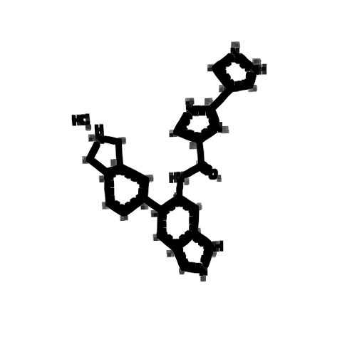 Cl.O=C(Nc1cc2[nH]ncc2cc1-c1ccc2c(c1)CNC2)c1csc(-c2cn[nH]c2)n1